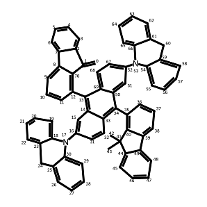 C=C1c2ccccc2-c2cccc(-c3c4cc(N5c6ccccc6Cc6ccccc65)ccc4c(-c4cccc5c4C(C)(C)c4ccccc4-5)c4cc(N5c6ccccc6Cc6ccccc65)ccc34)c21